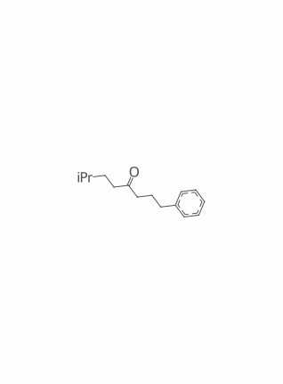 CC(C)CCC(=O)CCCc1ccccc1